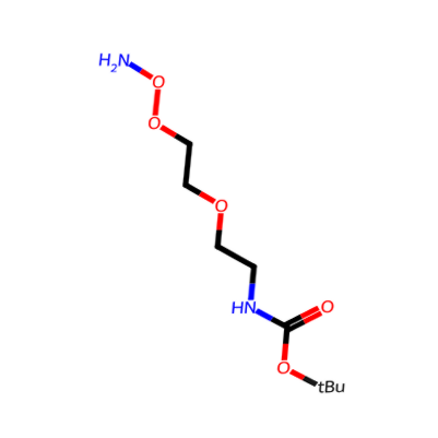 CC(C)(C)OC(=O)NCCOCCOON